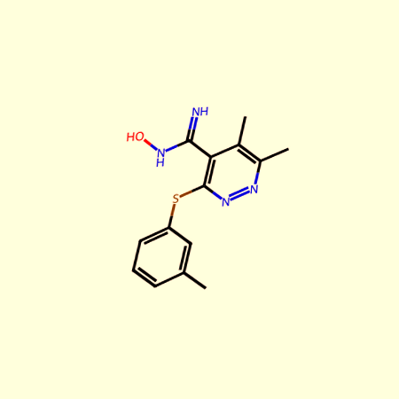 Cc1cccc(Sc2nnc(C)c(C)c2C(=N)NO)c1